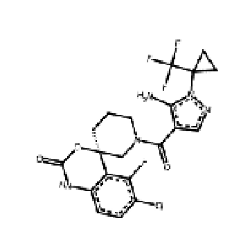 Nc1c(C(=O)N2CCC[C@@]3(C2)OC(=O)Nc2ccc(Cl)c(F)c23)cnn1C1(C(F)(F)F)CC1